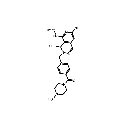 CCCC(C)Nc1nc(N)nc2c1[C@H](C=O)N(Cc1ccc(C(=O)N3CCN(C)CC3)cc1)N=C2